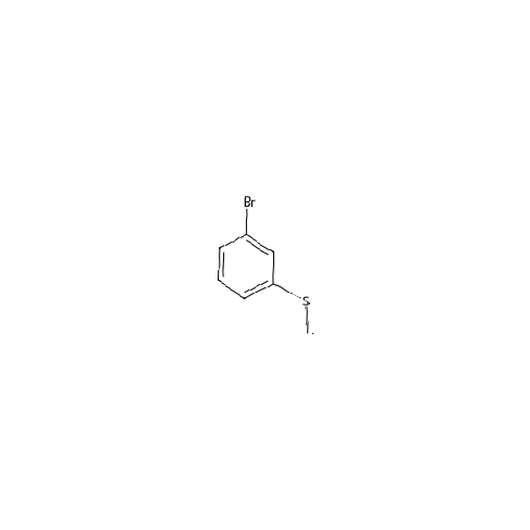 [CH2]Sc1cccc(Br)c1